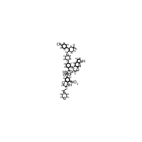 C[C@@H]1CN(c2cc(N3CCN(CC4=C(c5ccc(Cl)cc5)CC(C)(C)CC4)CC3)ccc2C(=O)NS(=O)(=O)c2cc3c(c([N+](=O)[O-])c2)N[C@H](CCN2CCOCC2)CO3)c2cc3cc[nH]c3nc2O1